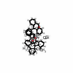 CCCC1=Cc2c(-c3cccc4ccccc34)cccc2C1C1=CC=CC2(C)C3(C)C=CC=CC3(C)C3(C)C4(C)C(C)=CC=CC4[CH]([Zr+2][SiH](c4ccccc4)c4ccccc4)C3(C)C12C.[Cl-].[Cl-]